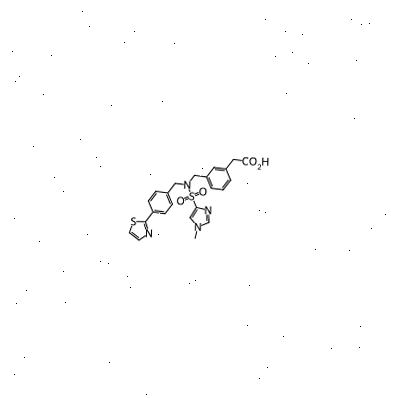 Cn1cnc(S(=O)(=O)N(Cc2ccc(-c3nccs3)cc2)Cc2cccc(CC(=O)O)c2)c1